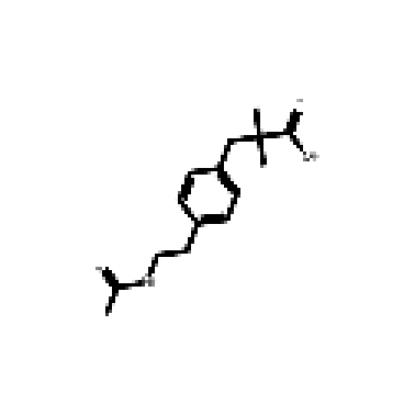 CC(=O)NCCc1ccc(CC(C)(C)C(=O)O)cc1